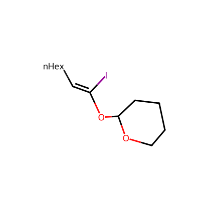 CCCCCCC=C(I)OC1CCCCO1